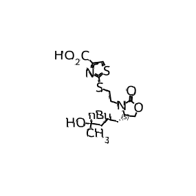 CCCCC(C)(O)CCC[C@H]1COC(=O)N1CCSc1nc(C(=O)O)cs1